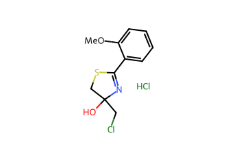 COc1ccccc1C1=NC(O)(CCl)CS1.Cl